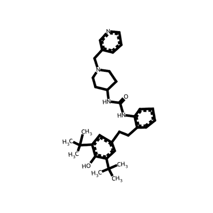 CC(C)(C)c1cc(CCc2ccccc2NC(=O)NC2CCN(Cc3cccnc3)CC2)cc(C(C)(C)C)c1O